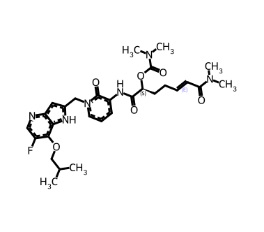 CC(C)COc1c(F)cnc2cc(Cn3cccc(NC(=O)[C@H](CC/C=C/C(=O)N(C)C)OC(=O)N(C)C)c3=O)[nH]c12